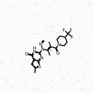 C=NN(/C(C)=C(\C)C(=O)N1CCC(C(F)(F)F)CC1)c1nc2sc(C)cc2c(=O)[nH]1